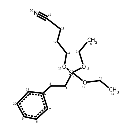 CCO[Si](CCc1ccccc1)(OCC)OCCCC#N